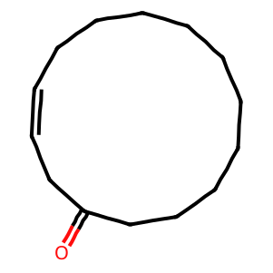 O=C1CC=CCCCCCCCCCC1